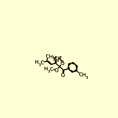 C=C(C=C(C)C)C(OC)(OC)C(=O)c1cccc(C)c1